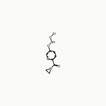 CCONOc1ccc(C(=O)N2CC2)nc1